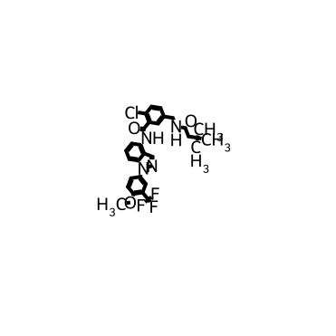 COc1ccc(-n2ncc3c(NC(=O)c4cc(CNC(=O)CC(C)(C)C)ccc4Cl)cccc32)cc1C(F)(F)F